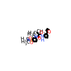 C=C(C)C(C(=O)Nc1cccc(-c2ccco2)c1)C(=O)N(C)c1cccc(S(=O)(=O)N(C)C)c1